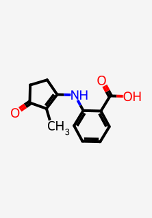 CC1=C(Nc2ccccc2C(=O)O)CCC1=O